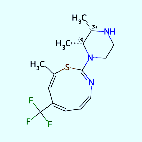 Cc1cc(C(F)(F)F)cccnc(N2CCN[C@@H](C)[C@H]2C)s1